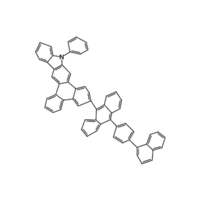 c1ccc(-n2c3ccccc3c3cc4c5ccccc5c5cc(-c6c7ccccc7c(-c7ccc(-c8cccc9ccccc89)cc7)c7ccccc67)ccc5c4cc32)cc1